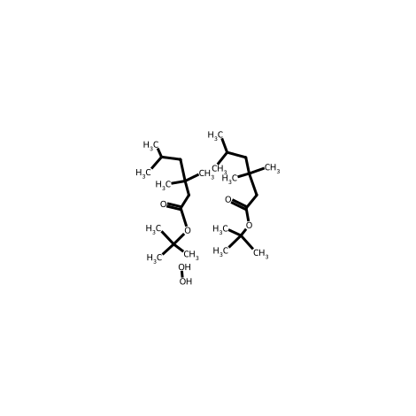 CC(C)CC(C)(C)CC(=O)OC(C)(C)C.CC(C)CC(C)(C)CC(=O)OC(C)(C)C.OO